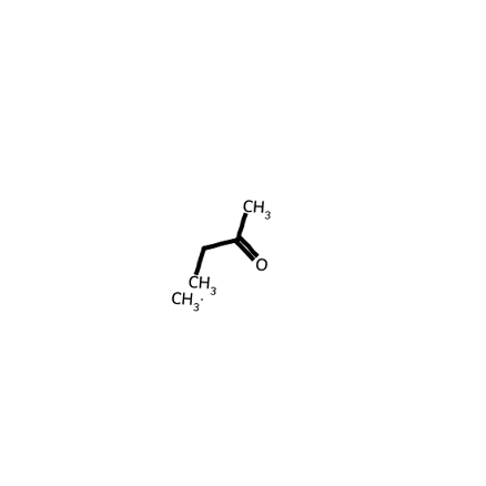 CCC(C)=O.[CH3]